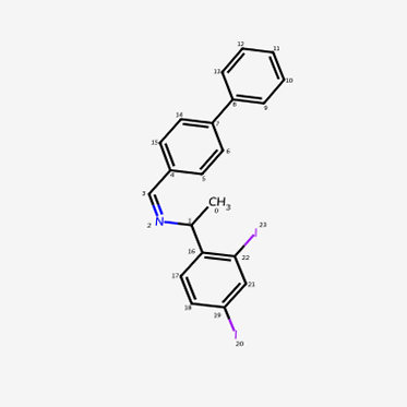 CC(/N=C\c1ccc(-c2ccccc2)cc1)c1ccc(I)cc1I